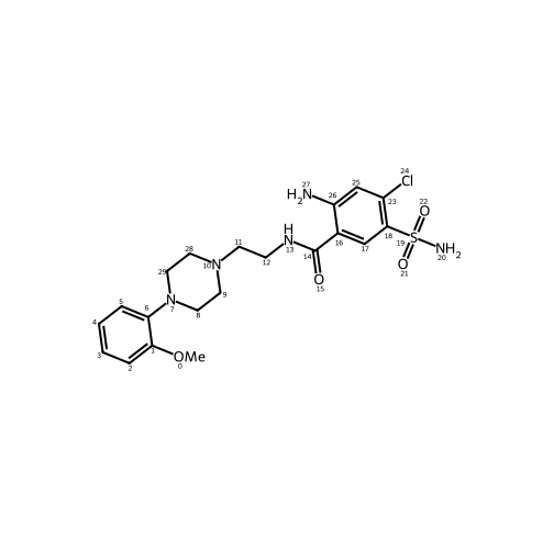 COc1ccccc1N1CCN(CCNC(=O)c2cc(S(N)(=O)=O)c(Cl)cc2N)CC1